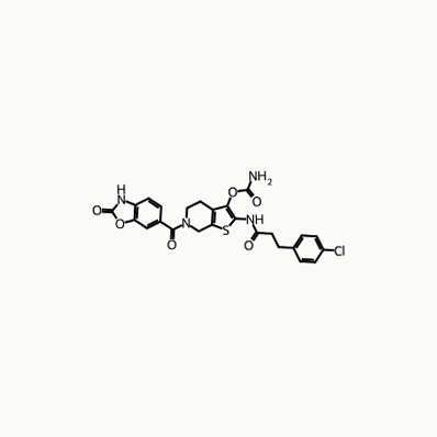 NC(=O)Oc1c(NC(=O)CCc2ccc(Cl)cc2)sc2c1CCN(C(=O)c1ccc3[nH]c(=O)oc3c1)C2